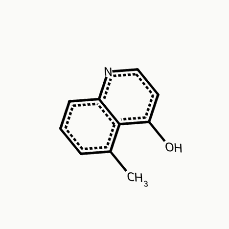 Cc1cccc2nccc(O)c12